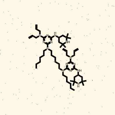 C=CCN(CC=C)c1nc(NC2CC(C)(C)NC(C)(C)C2)nc(N(CCCCCC)CCCCCCN(CCCCCC)c2nc(NC3CC(C)(C)NC(C)(C)C3)nc(N(CC=C)CC=C)n2)n1